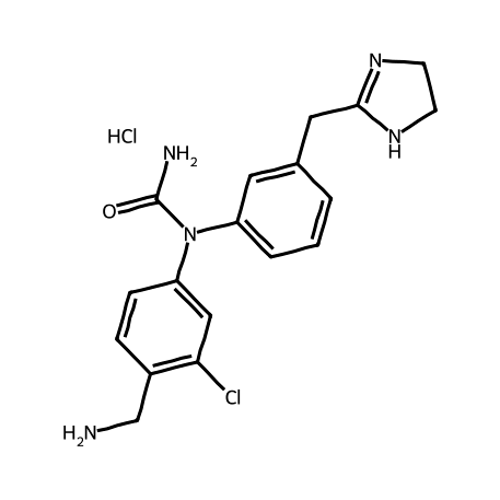 Cl.NCc1ccc(N(C(N)=O)c2cccc(CC3=NCCN3)c2)cc1Cl